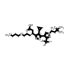 CCCCOCCC[C@@H](CC(=O)O)c1noc(-c2cn(CCC(C)(C)C)nc2C(F)(F)F)c1C1CC1